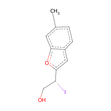 Cc1ccc2cc([C@H](I)CO)oc2c1